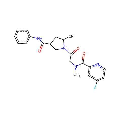 CN(CC(=O)N1CC(C(=O)Nc2ccccc2)CC1C#N)C(=O)c1cc(F)ccn1